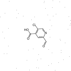 O=Cc1cc(C(=O)O)c(Cl)cn1